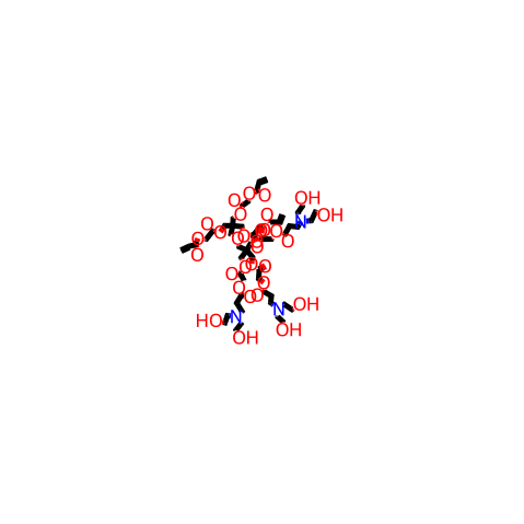 C=CC(=O)OCC(=O)OCC(COCC(COC(=O)COC(=O)CCN(CCO)CCO)(COC(=O)COC(=O)CCN(CCO)CCO)COC(=O)COC(=O)CCN(CCO)CCO)(COC(=O)COC(=O)C=C)COC(=O)COC(=O)C=C